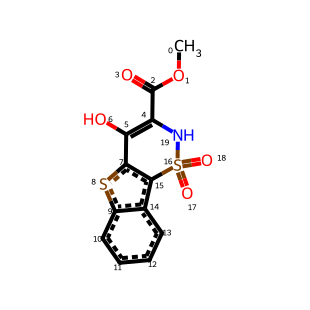 COC(=O)C1=C(O)c2sc3ccccc3c2S(=O)(=O)N1